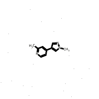 Cc1cc(-c2cnn(C)c2)ccn1